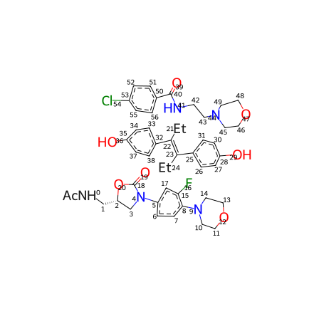 CC(=O)NC[C@H]1CN(c2ccc(N3CCOCC3)c(F)c2)C(=O)O1.CC/C(=C(/CC)c1ccc(O)cc1)c1ccc(O)cc1.O=C(NCCN1CCOCC1)c1ccc(Cl)cc1